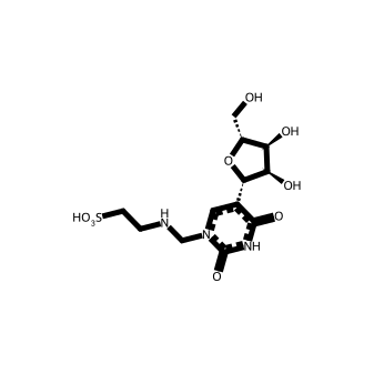 O=c1[nH]c(=O)n(CNCCS(=O)(=O)O)cc1[C@@H]1O[C@H](CO)[C@@H](O)[C@H]1O